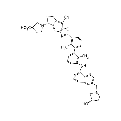 Cc1c(Nc2nccc3cc(CN4CC[C@@H](O)C4)cnc23)cccc1-c1cccc(-c2nc3cc4c(c(C#N)c3o2)CC[C@H]4N2CC[C@@H](C(=O)O)C2)c1C